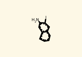 Nc1cc2ccccc2cc1I